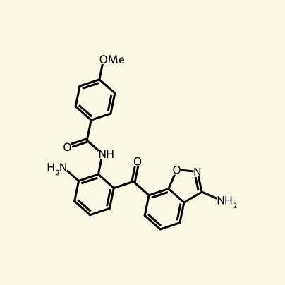 COc1ccc(C(=O)Nc2c(N)cccc2C(=O)c2cccc3c(N)noc23)cc1